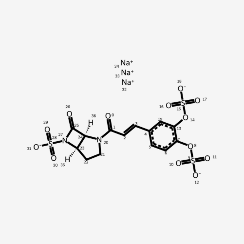 O=C(/C=C/c1ccc(OS(=O)(=O)[O-])c(OS(=O)(=O)[O-])c1)N1CC[C@@H]2[C@H]1C(=O)N2S(=O)(=O)[O-].[Na+].[Na+].[Na+]